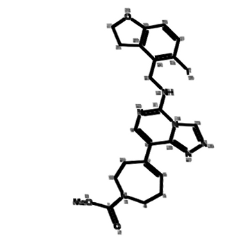 COC(=O)N1CCC=C(c2cnc(NCc3c(F)ccc4c3CCO4)n3cnnc23)CC1